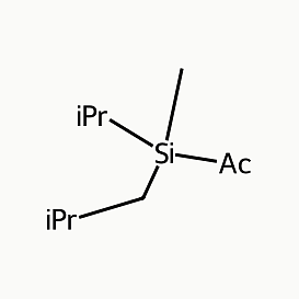 CC(=O)[Si](C)(CC(C)C)C(C)C